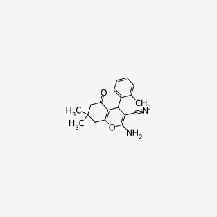 Cc1ccccc1C1C(C#N)=C(N)OC2=C1C(=O)CC(C)(C)C2